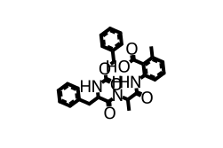 Cc1cccc(NC(=O)C(C)NC(=O)C(Cc2ccccc2)NC(=O)OCc2ccccc2)c1C(=O)O